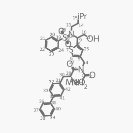 COC(=O)N(Cc1csc(C(CO)N(CCC(C)C)S(=O)(=O)c2ccccc2)c1)C(=O)[C@@H](N)Cc1ccc(-c2ccccc2)cc1